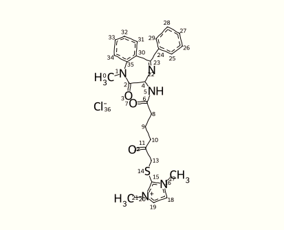 CN1C(=O)C(NC(=O)CCCC(=O)CSc2n(C)cc[n+]2C)N=C(c2ccccc2)c2ccccc21.[Cl-]